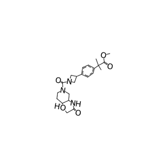 COC(=O)C(C)(C)c1ccc(C2CN(C(=O)N3CC[C@@H]4OCC(=O)NC4C3)C2)cc1